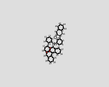 C1=C2Oc3c(cccc3N(c3ccccc3-c3ccccc3)c3cc4ccc5ccccc5c4c4ccccc34)C2Cc2ccccc21